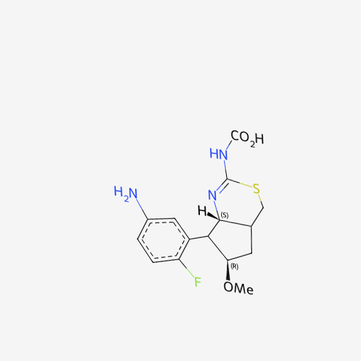 CO[C@@H]1CC2CSC(NC(=O)O)=N[C@H]2C1c1cc(N)ccc1F